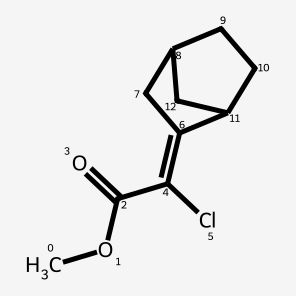 COC(=O)C(Cl)=C1CC2CCC1C2